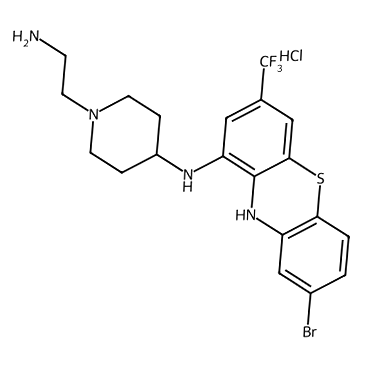 Cl.NCCN1CCC(Nc2cc(C(F)(F)F)cc3c2Nc2cc(Br)ccc2S3)CC1